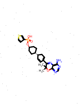 CC1(C)Oc2ncnc(N)c2N=C1C1=CCC([C@H]2CC[C@H](OP(=O)(O)c3ccsc3)CC2)C=C1